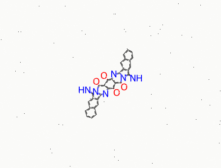 N=c1c2cc3ccccc3cc2c2nc3c(=O)c4c(=O)n5c(=N)c6cc7ccccc7cc6c5nc4c(=O)c3c(=O)n12